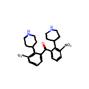 O=C(c1cccc([N+](=O)[O-])c1C1CCNCC1)c1cccc([N+](=O)[O-])c1C1CCNCC1